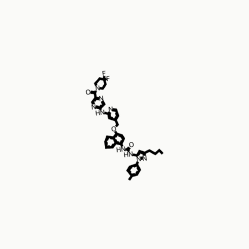 CCCCc1cc(NC(=O)Nc2ccc(OCc3ccnc(Nc4cnc(C(=O)N5CCC(F)(F)CC5)cn4)c3)c3ccccc23)n(-c2ccc(C)cc2)n1